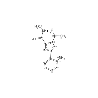 CNC(=O)c1oc(-c2ccccc2N)cc1N(C)C